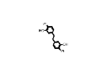 CC(C)c1ccc(CCc2ccc(C(C)C)c(O)c2)cc1O